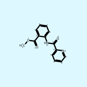 COC(=O)c1ccccc1NC(=O)c1ccccn1